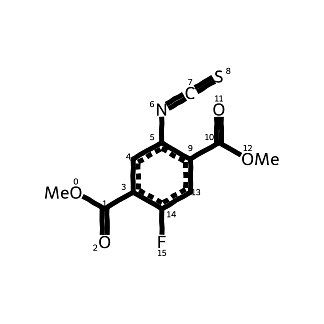 COC(=O)c1cc(N=C=S)c(C(=O)OC)cc1F